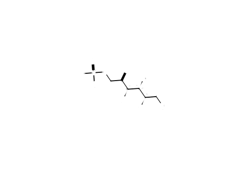 O=C(COP(=O)(O)O)[C@H](O)[C@@H](O)[C@H](O)CO